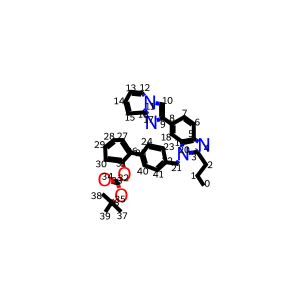 CCCc1nc2ccc(-c3cn4ccccc4n3)cc2n1Cc1ccc(-c2ccccc2OC(=O)OC(C)(C)C)cc1